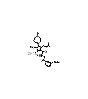 COc1cccc(C(=O)CNC(=O)c2c(N(C)C=O)c(C#N)c(N3CCCNCC3)n2CC=C(C)C)c1